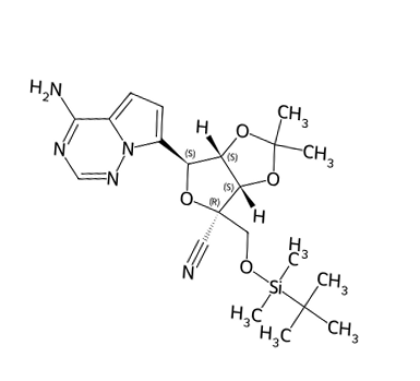 CC1(C)O[C@H]2[C@H](c3ccc4c(N)ncnn34)O[C@](C#N)(CO[Si](C)(C)C(C)(C)C)[C@H]2O1